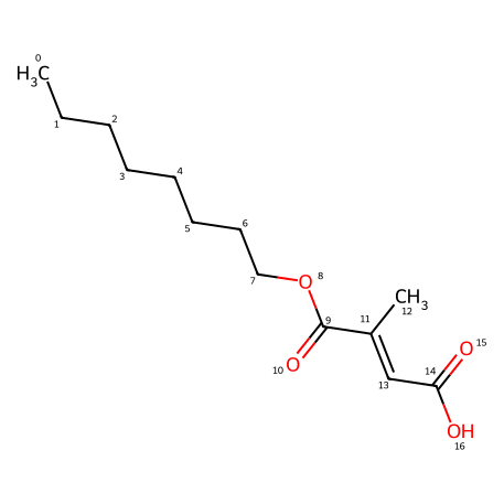 CCCCCCCCOC(=O)/C(C)=C/C(=O)O